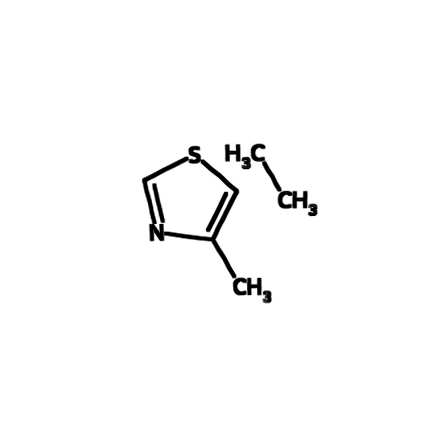 CC.Cc1cscn1